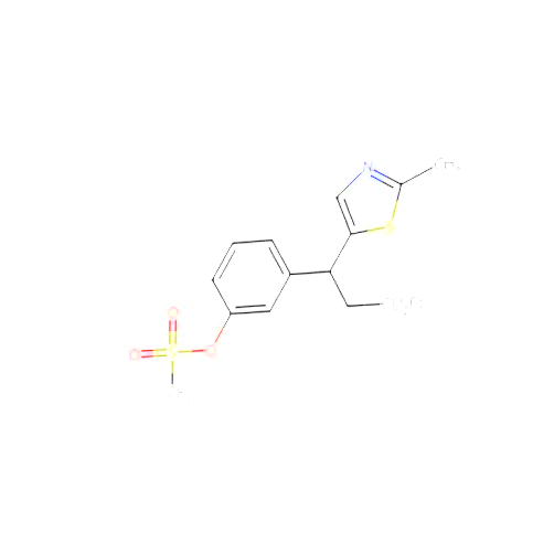 CCOC(=O)CC(c1cccc(OS(=O)(=O)C(F)(F)F)c1)c1cnc(C)s1